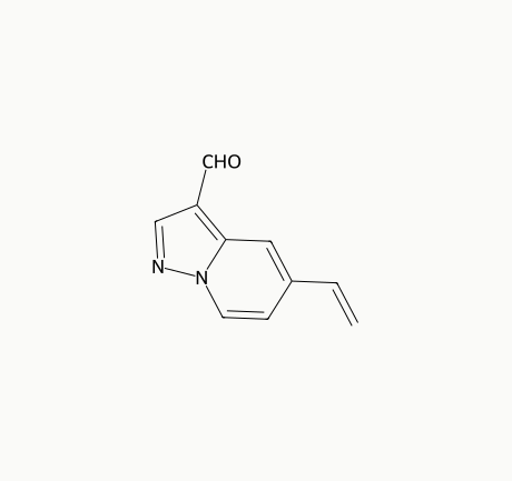 C=Cc1ccn2ncc(C=O)c2c1